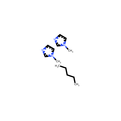 CCCCC.Cn1ccnc1.Cn1ccnc1